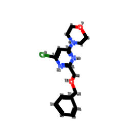 Clc1cc(N2CCOCC2)nc(COCc2ccccc2)n1